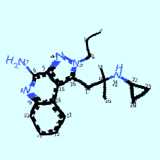 CCCn1nc2c(N)nc3ccccc3c2c1CC(C)(C)NC1CC1